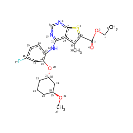 CCOC(=O)c1sc2ncnc(Nc3ccc(F)cc3O[C@H]3CCC[C@H](OC)C3)c2c1C